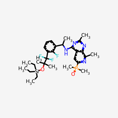 CC[Si](CC)(CC)OC(C)(C)C(F)(F)c1cccc(C(C)Nc2nc(C)nc3c(C)nc(P(C)(C)=O)cc23)c1F